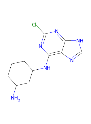 NC1CCCC(Nc2nc(Cl)nc3[nH]cnc23)C1